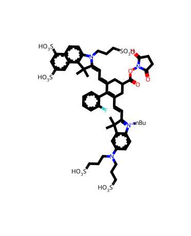 CCCC[N+]1=C(/C=C/C2=C(c3ccccc3F)C(=C/C=C3/N(CCCS(=O)(=O)O)c4ccc5c(S(=O)(=O)O)cc(S(=O)(=O)O)cc5c4C3(C)C)/CC(C(=O)ON3C(=O)CCC3=O)C2)C(C)(C)c2cc(N(CCCS(=O)(=O)O)CCCS(=O)(=O)O)ccc21